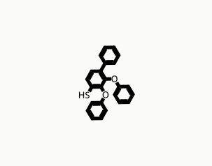 Sc1ccc(-c2ccccc2)c(Oc2ccccc2)c1Oc1ccccc1